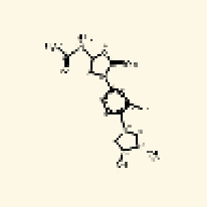 CC(=O)N(C)C1CN(c2ccc(N3C[C@H](C)[C@@H](O)C3)c(F)c2)C(=O)O1